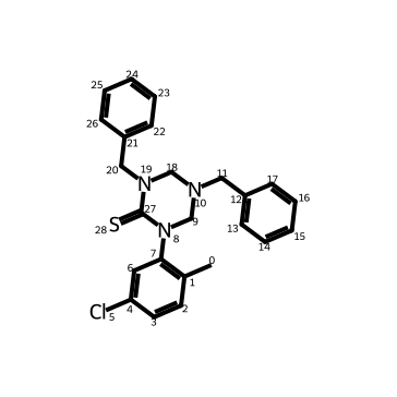 Cc1ccc(Cl)cc1N1CN(Cc2ccccc2)CN(Cc2ccccc2)C1=S